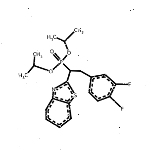 CC(C)OP(=O)(OC(C)C)C(Cc1ccc(F)c(F)c1)c1nc2ccccc2s1